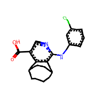 O=C(O)c1cnc(Nc2cccc(Cl)c2)c2c1C1CCC2CC1